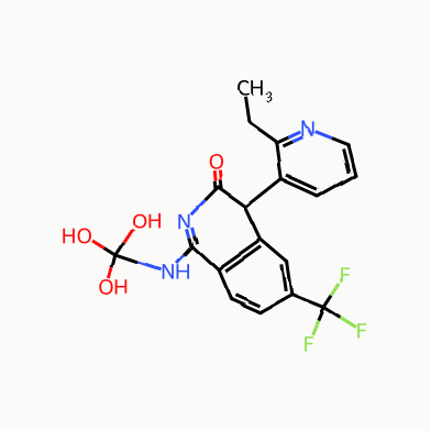 CCc1ncccc1C1C(=O)N=C(NC(O)(O)O)c2ccc(C(F)(F)F)cc21